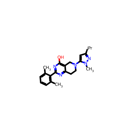 Cc1cccc(C)c1-c1nc(O)c2c(n1)CCN(c1cc(C(C)C)nn1C)C2